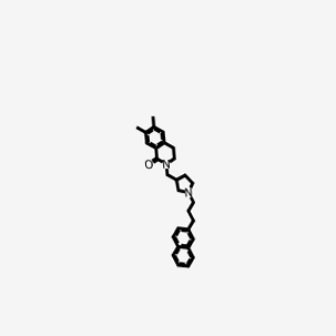 Cc1cc2c(cc1C)C(=O)N(CC1CCN(CCCc3ccc4ccccc4c3)C1)CC2